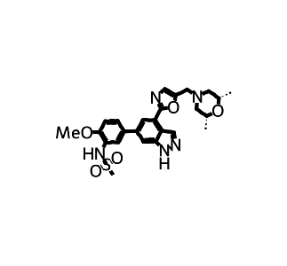 COc1ccc(-c2cc(-c3ncc(CN4C[C@@H](C)O[C@@H](C)C4)o3)c3cn[nH]c3c2)cc1NS(C)(=O)=O